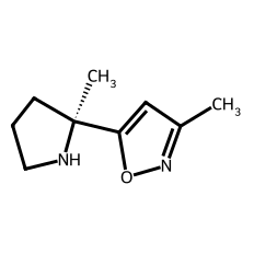 Cc1cc([C@]2(C)CCCN2)on1